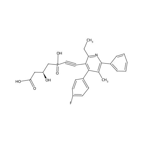 CCc1nc(-c2ccccc2)c(C)c(-c2ccc(F)cc2)c1C#CP(=O)(O)C[C@@H](O)CC(=O)O